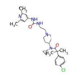 Cc1cc(NC(=O)NCCN2CCC(N(C(=O)C(C)(C)c3ccc(Cl)cc3)C3CC3)CC2)cc(C)n1